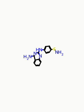 NSc1ccc(Nc2nc(N)c3ccccc3n2)cc1